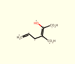 C=CC/C(C(=O)O)=C(\O)C(=O)O